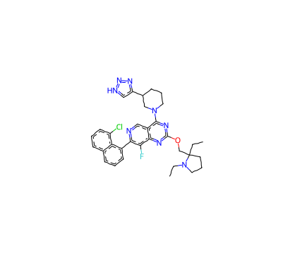 CCN1CCCC1(CC)COc1nc(N2CCCC(c3c[nH]nn3)C2)c2cnc(-c3cccc4cccc(Cl)c34)c(F)c2n1